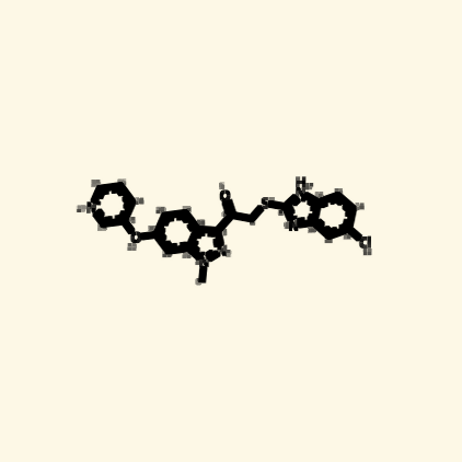 Cn1nc(C(=O)CSc2nc3cc(Cl)ccc3[nH]2)c2ccc(Oc3cccnc3)cc21